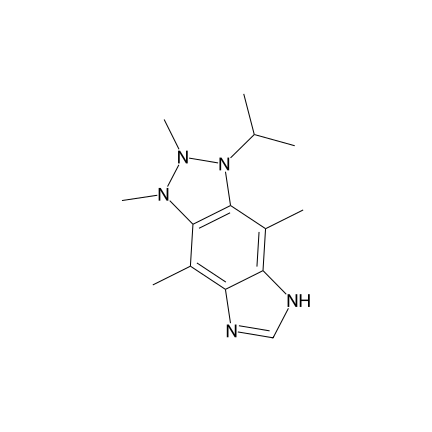 Cc1c2c(c(C)c3[nH]cnc13)N(C(C)C)N(C)N2C